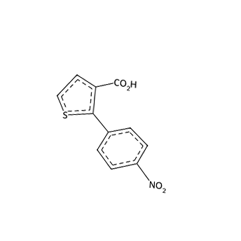 O=C(O)c1ccsc1-c1ccc([N+](=O)[O-])cc1